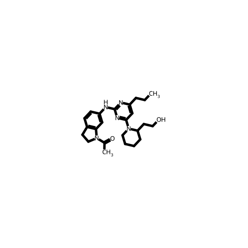 CCCc1cc(N2CCCCC2CCO)nc(Nc2ccc3c(c2)N(C(C)=O)CC3)n1